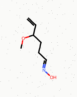 C=CC(CCC=NO)OC